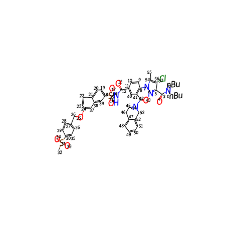 CCCCN(CCCC)C(=O)c1nn(-c2ccc(C(=O)NS(=O)(=O)c3ccc4ccc(OCc5ccc(S(C)(=O)=O)cc5)cc4c3)cc2C(=O)N2CCc3ccccc3C2)c(C)c1Cl